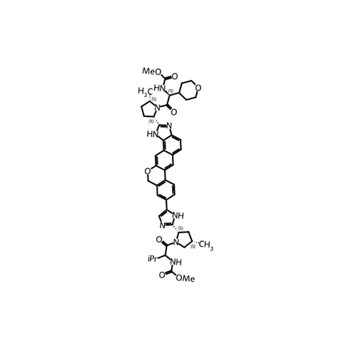 COC(=O)NC(C(=O)N1C[C@@H](C)C[C@H]1c1ncc(-c2ccc3c(c2)COc2cc4c(ccc5nc([C@@H]6CC[C@H](C)N6C(=O)[C@@H](NC(=O)OC)C6CCOCC6)[nH]c54)cc2-3)[nH]1)C(C)C